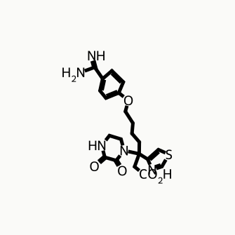 N=C(N)c1ccc(OCCCCC(CC(=O)O)(c2cscn2)N2CCNC(=O)C2=O)cc1